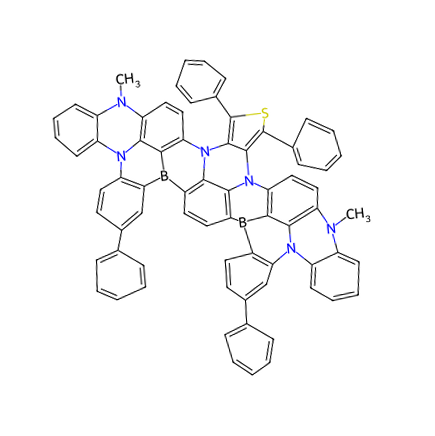 CN1c2ccccc2N2c3ccc(-c4ccccc4)cc3B3c4ccc5c6c4N(c4ccc1c2c43)c1c(-c2ccccc2)sc(-c2ccccc2)c1N6c1ccc2c3c1B5c1ccc(-c4ccccc4)cc1N3c1ccccc1N2C